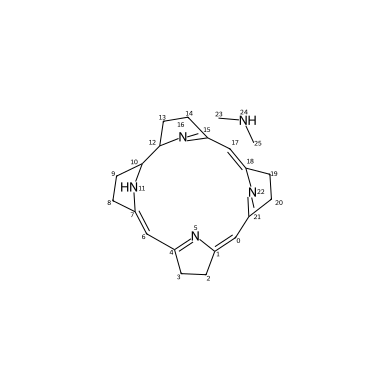 C1=C2/CCC(=N2)/C=C2/CCC(N2)C2CCC(=N2)/C=C2/CCC/1=N2.CNC